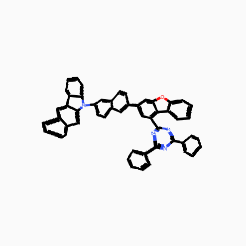 c1ccc(-c2nc(-c3ccccc3)nc(-c3cc(-c4ccc5cc(-n6c7ccccc7c7cc8ccccc8cc76)ccc5c4)cc4oc5ccccc5c34)n2)cc1